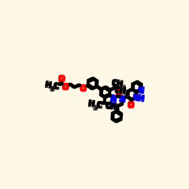 CC(=O)OCCCOc1cccc(-c2cc(C(C)C)c(NC(=O)N(CCc3ccccc3)c3cc4cccnc4[nH]c3=O)c(C(C)C)c2)c1